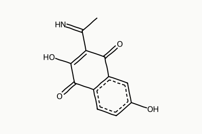 CC(=N)C1=C(O)C(=O)c2ccc(O)cc2C1=O